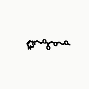 COCCOCC(=O)OCCn1ccnc1